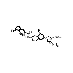 CCn1ccc2cc(C(=O)N[C@@H]3CCc4cc(N5C[C@H](OC)[C@@H](N)C5)cc(F)c4C3)nnc21